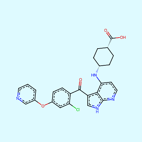 O=C(c1ccc(Oc2cccnc2)cc1Cl)c1c[nH]c2nccc(N[C@H]3CC[C@@H](C(=O)O)CC3)c12